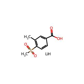 Cc1cc(C(=O)O)ccc1S(C)(=O)=O.[LiH]